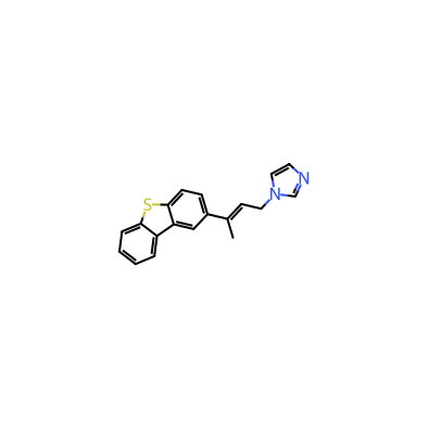 CC(=CCn1ccnc1)c1ccc2sc3ccccc3c2c1